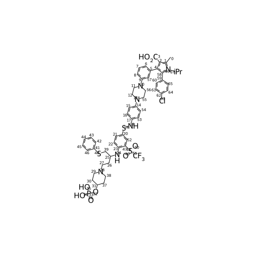 Cc1c(C(=O)O)c(-c2cccc(N3CCN(c4ccc(NSc5ccc(NC(CCN6CCC(OP(=O)(O)O)CC6)CSc6ccccc6)c(S(=O)(=O)C(F)(F)F)c5)cc4)CC3)c2)c(-c2ccc(Cl)cc2)n1C(C)C